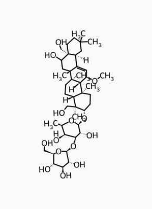 CO[C@@H]1C=C2[C@@H]3CC(C)(C)CC[C@]3(CO)C(O)C[C@@]2(C)[C@]2(C)CC[C@H]3[C@](C)(CO)[C@@H](O[C@@H]4O[C@H](C)[C@H](O)[C@H](O[C@@H]5O[C@H](CO)[C@@H](O)[C@H](O)[C@H]5O)[C@H]4O)CC[C@]3(C)[C@@H]12